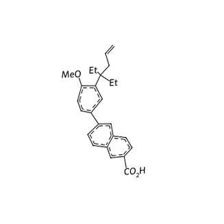 C=CCC(CC)(CC)c1cc(-c2ccc3cc(C(=O)O)ccc3c2)ccc1OC